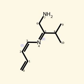 C=C/C=C\N=C(/CN)C(C)C